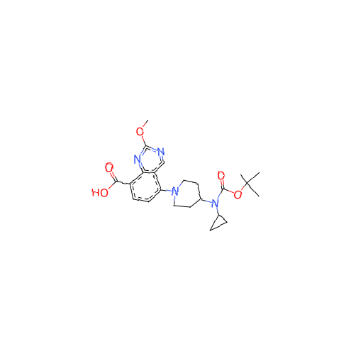 COc1ncc2c(N3CCC(N(C(=O)OC(C)(C)C)C4CC4)CC3)ccc(C(=O)O)c2n1